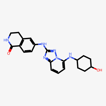 O=C1NCCc2cc(Nc3nc4cccc(NC5CCC(O)CC5)n4n3)ccc21